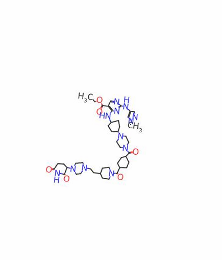 CCOC(=O)c1cnc(Nc2cnn(C)c2)nc1NC1CCC(N2CCN(C(=O)C3CCC(C(=O)N4CCC(CCN5CCN(C6CCC(=O)NC6=O)CC5)CC4)CC3)CC2)CC1